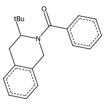 CC(C)(C)C1Cc2ccccc2CN1C(=O)c1ccccc1